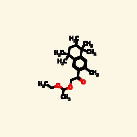 CCOC(C)OCC(=O)c1cc2c(cc1C)C(C)(C)C(C)CC2(C)C